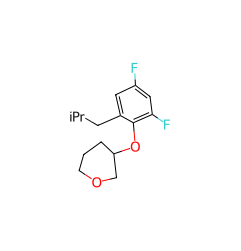 CC(C)Cc1cc(F)cc(F)c1OC1CCCOC1